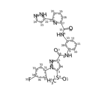 C[S+]([O-])c1cc(C(=O)Nc2cccc(NC(=O)c3cccc(-c4ccn[nH]4)n3)c2)nn1-c1ccc(F)cc1